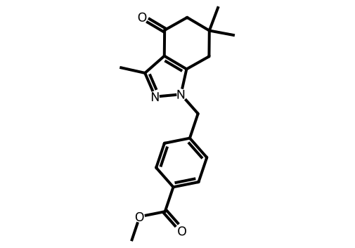 COC(=O)c1ccc(Cn2nc(C)c3c2CC(C)(C)CC3=O)cc1